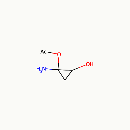 CC(=O)OC1(N)CC1O